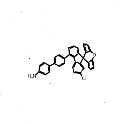 Nc1ccc(-c2ccc(-c3cccc4c3-c3ccc(Cl)cc3C43c4ccccc4Oc4ccccc43)cc2)cc1